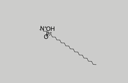 CCCCCCCCCCCCCCCCCCCCC[P+]([O-])=C(O)C[N+](C)(C)C